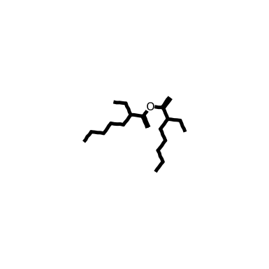 C=C(OC(=C)C(CC)CCCCC)C(CC)CCCCC